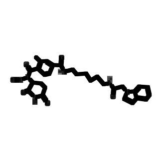 Cc1cc(C(=O)NCCCCCCNC(=O)Cn2ccc3ccccc32)ccc1C(=O)N(C=O)C1CCC(=O)NC1=O